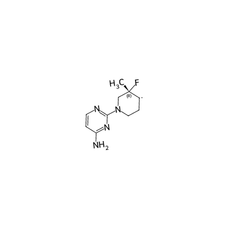 C[C@@]1(F)[CH]CCN(c2nccc(N)n2)C1